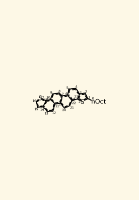 CCCCCCCCc1cc2ccc3c4ccc5c(ccc6ccsc65)c4ccc3c2s1